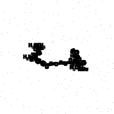 CCN(C(=O)N(C)C)[C@@H]1CCCN(c2cnc(C(N)=O)c(Nc3ccc(C4CCN(C(=O)CCOCCOCCOCCOCCC(=O)N[C@H]5C[C@@H](C(=O)NC6CCCc7ccccc76)N(C(=O)[C@@H](NC(=O)[C@H](C)NC)C6CCCCC6)C5)CC4)cc3)n2)C1